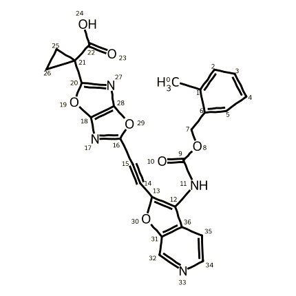 Cc1ccccc1COC(=O)Nc1c(C#Cc2nc3oc(C4(C(=O)O)CC4)nc3o2)oc2cnccc12